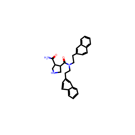 NC(=O)C1CNCC1C(=O)N(CCc1ccc2ccccc2c1)CCc1ccc2ccccc2c1